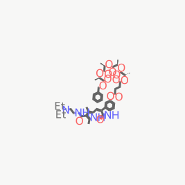 CCN(CC)CCNC(=O)c1c(C)[nH]c(/C=C2\C(=O)Nc3ccc(OC(=O)CCC(=O)O[C@@H](C)C(=O)O[C@H](C)C(=O)O[C@H](C)C(=O)O[C@H](C)C(=O)OCc4ccccc4)cc32)c1C